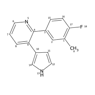 Cc1cc(-c2ncccc2-c2cc[nH]c2)ccc1F